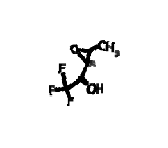 CC1O[C@@H]1C(O)C(F)(F)F